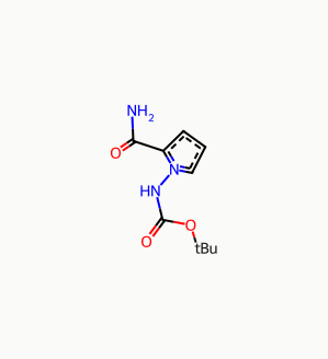 CC(C)(C)OC(=O)Nn1cccc1C(N)=O